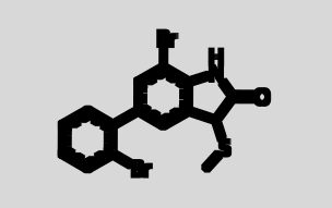 CSC1C(=O)Nc2c(Br)cc(-c3ccccc3Br)cc21